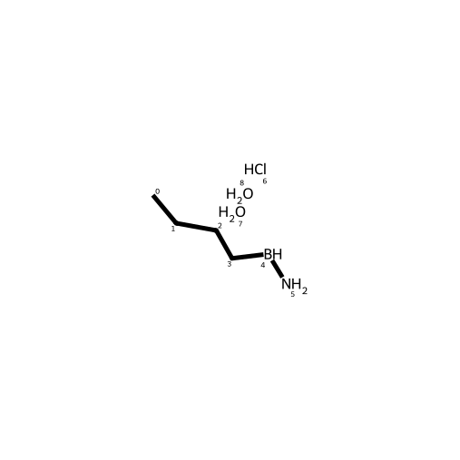 CCCCBN.Cl.O.O